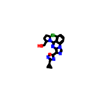 OCC1CCCN1c1nc2c(-c3nc(C4CC4)no3)ncn2c2cccc(Cl)c12